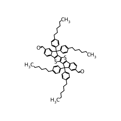 CCCCCCc1ccc(C2(c3ccc(CCCCCC)cc3)c3cc(C=O)ccc3-c3sc4c5c(sc4c32)-c2ccc(C=O)cc2C5(c2ccc(CCCCCC)cc2)c2ccc(CCCCCC)cc2)cc1